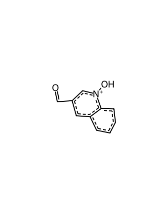 O=Cc1cc2ccccc2[n+](O)c1